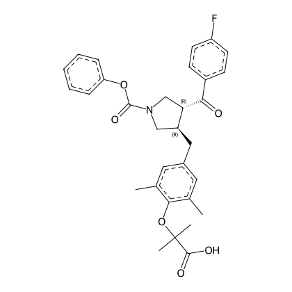 Cc1cc(C[C@H]2CN(C(=O)Oc3ccccc3)C[C@@H]2C(=O)c2ccc(F)cc2)cc(C)c1OC(C)(C)C(=O)O